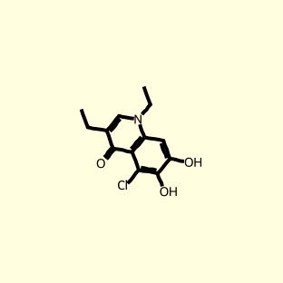 CCc1cn(CC)c2cc(O)c(O)c(Cl)c2c1=O